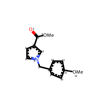 COC(=O)c1ccn(Cc2ccc(OC)cc2)c1